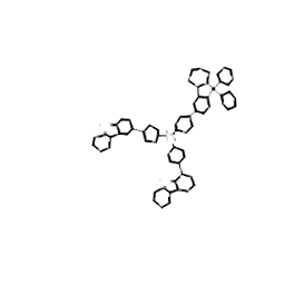 c1ccc(C2(c3ccccc3)c3ccccc3-c3cc(-c4ccc(N(c5ccc(-c6ccc7oc8ccccc8c7c6)cc5)c5ccc(-c6cccc7c6oc6ccccc67)cc5)cc4)ccc32)cc1